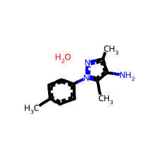 Cc1ccc(-n2nc(C)c(N)c2C)cc1.O